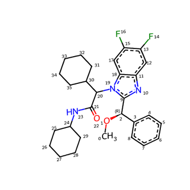 CO[C@H](c1ccccc1)c1nc2cc(F)c(F)cc2n1C(C(=O)NC1CCCCC1)C1CCCCC1